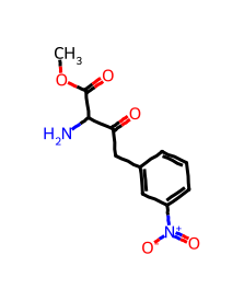 COC(=O)C(N)C(=O)Cc1cccc([N+](=O)[O-])c1